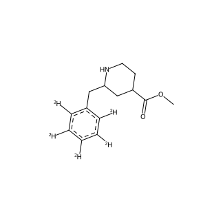 [2H]c1c([2H])c([2H])c(CC2CC(C(=O)OC)CCN2)c([2H])c1[2H]